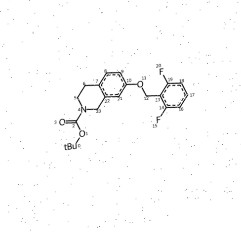 CC(C)(C)OC(=O)N1CCc2ccc(OCc3c(F)cccc3F)cc2C1